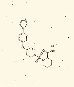 O=C(NO)C1CCCCN1S(=O)(=O)N1CCC(Oc2ccc(-n3ccnc3)cc2)CC1